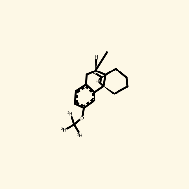 [2H]C([2H])([2H])Oc1ccc2c(c1)[C@@]13CCCC[C@H]1[C@@H](C2)N(C)CC3